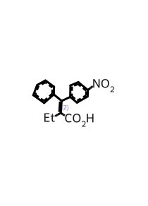 CC/C(C(=O)O)=C(\c1ccccc1)c1ccc([N+](=O)[O-])cc1